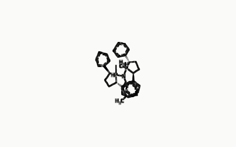 CCCCN([PH]1(C)[C@H](c2ccccc2)CC[C@H]1c1ccccc1)[PH]1(I)[C@H](c2ccccc2)CC[C@H]1c1ccccc1